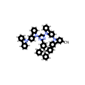 N#Cc1ccc2c(c1)c1ccccc1n2-c1ccc2c3ccccc3n(-c3cc(-n4c5ccccc5c5cc(-n6c7ccccc7c7ccccc76)ccc54)nc(-c4ccc([Si](c5ccccc5)(c5ccccc5)c5ccccc5)cc4)n3)c2c1